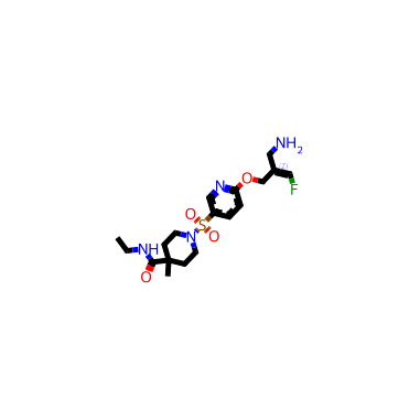 CCNC(=O)C1(C)CCN(S(=O)(=O)c2ccc(OC/C(=C\F)CN)nc2)CC1